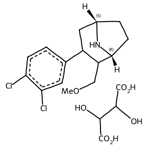 COCC1C(c2ccc(Cl)c(Cl)c2)C[C@@H]2CC[C@H]1N2.O=C(O)C(O)C(O)C(=O)O